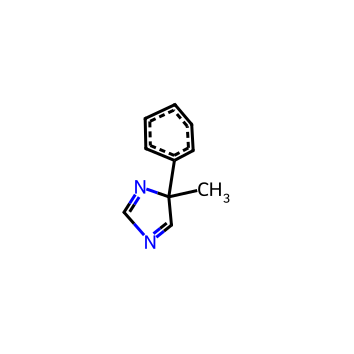 CC1(c2ccccc2)C=NC=N1